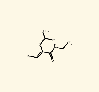 CCCCCCC(CC)S/C(=C\C(C)C)C(=O)NCC(F)(F)F